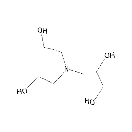 CN(CCO)CCO.OCCO